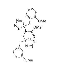 COC(=O)N(CC1(Cc2cccc(OC)c2)C=NN=N1)C1(Cc2ccccc2OC)C=NN=N1